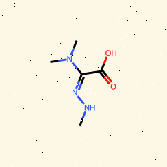 CN/N=C(\C(=O)O)N(C)C